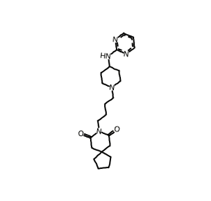 O=C1CC2(CCCC2)CC(=O)N1CCCCN1CCC(Nc2ncccn2)CC1